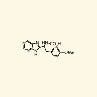 COc1ccc(CC(NC(=O)O)c2nc3cncnc3[nH]2)cc1